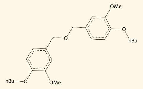 CCCCOc1ccc(COCc2ccc(OCCCC)c(OC)c2)cc1OC